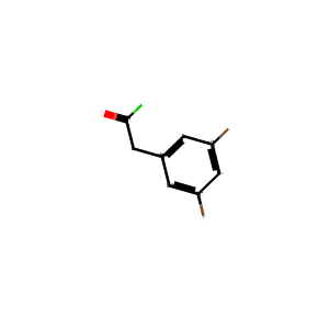 O=C(Cl)Cc1cc(Br)cc(Br)c1